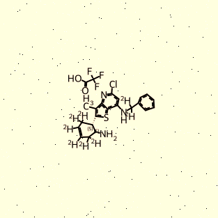 O=C(O)C(F)(F)F.[2H]C1=C([2H])C([2H])([2H])[C@H](c2sc3c(NC([2H])([2H])c4ccccc4)cc(Cl)nc3c2C)[C@@H](N)C1([2H])[2H]